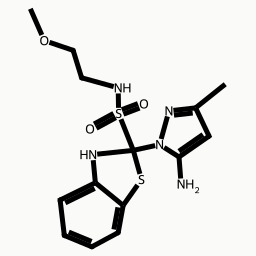 COCCNS(=O)(=O)C1(n2nc(C)cc2N)Nc2ccccc2S1